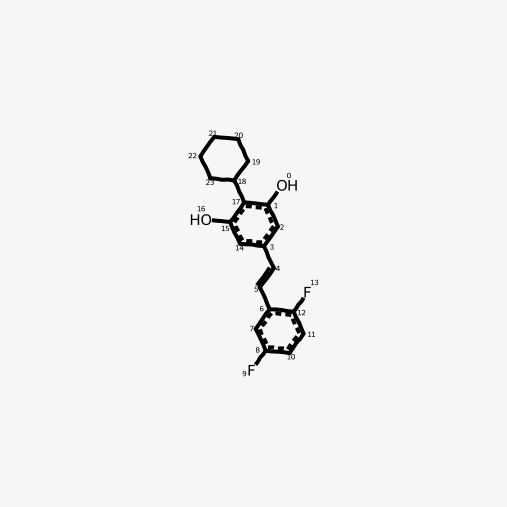 Oc1cc(/C=C/c2cc(F)ccc2F)cc(O)c1C1CCCCC1